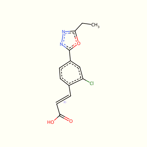 CCc1nnc(-c2ccc(/C=C/C(=O)O)c(Cl)c2)o1